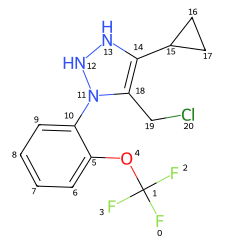 FC(F)(F)Oc1ccccc1N1NNC(C2CC2)=C1CCl